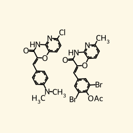 CC(=O)Oc1c(Br)cc(/C=C2\Oc3ccc(C)nc3NC2=O)cc1Br.CN(C)c1ccc(/C=C2\Oc3ccc(Cl)nc3NC2=O)cc1